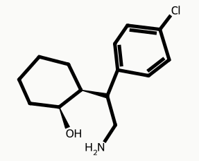 NCC(c1ccc(Cl)cc1)[C@@H]1CCCC[C@@H]1O